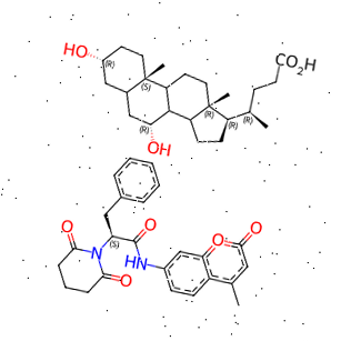 C[C@H](CCC(=O)O)[C@H]1CCC2C3C(CC[C@@]21C)[C@@]1(C)CC[C@@H](O)CC1C[C@H]3O.Cc1cc(=O)oc2cc(NC(=O)[C@H](Cc3ccccc3)N3C(=O)CCCC3=O)ccc12